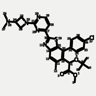 COC(=O)C(OC(C)(C)C)c1c(C)cc2nc(-c3ccnc(N4CC(N(C)C)C4)n3)sc2c1-c1ccc(Cl)cc1